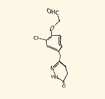 O=CCOc1ccc(C2=NNC(=O)CC2)cc1Cl